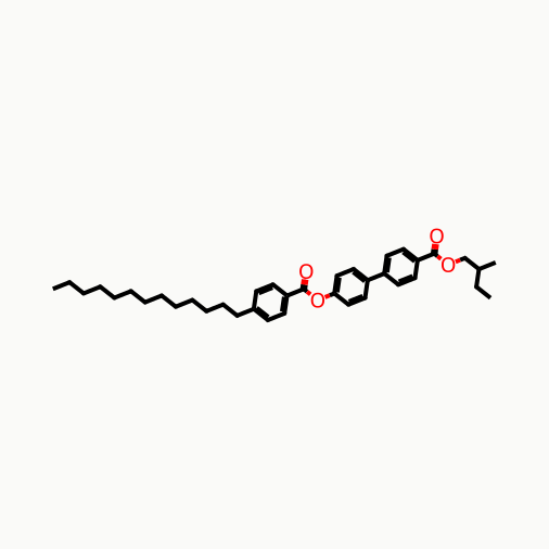 CCCCCCCCCCCCCc1ccc(C(=O)Oc2ccc(-c3ccc(C(=O)OCC(C)CC)cc3)cc2)cc1